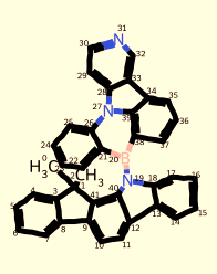 CC1(C)c2ccccc2-c2ccc3c4ccccc4n(B4c5ccccc5-n5c6ccncc6c6cccc4c65)c3c21